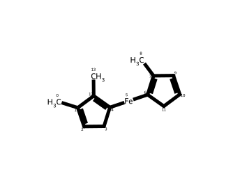 CC1=CC[C]([Fe][C]2=C(C)C=CC2)=C1C